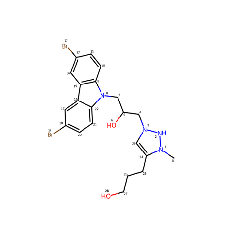 CN1NN(CC(O)Cn2c3ccc(Br)cc3c3cc(Br)ccc32)C=C1CCCO